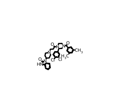 Cc1cc(C)cc(C(=O)N2CCN(C(=O)CCN3CCC(n4c(=O)[nH]c5ccccc54)CC3)C(c3ccc(Cl)c(Cl)c3)C2)c1